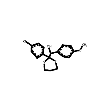 COc1ccc(C(O)C2(c3ccc(Cl)cc3)SCCCS2)cc1